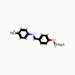 CCCCCCCOc1ccc(C=Nc2ccc(C#N)cc2)cc1